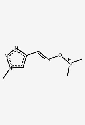 Cn1cc(C=NO[SiH](C)C)nn1